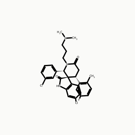 Cc1ccc(F)cc1[C@H]1CC(=O)N(CCCN(C)C)[C@@H](c2cccc(Cl)c2)[C@]12C(=O)Nc1cc(Cl)ccc12